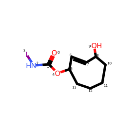 O=C(NI)OC1/C=C/C(O)CCCC1